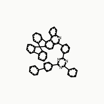 c1ccc(-c2ccc(-c3nc(-c4ccccc4)nc(-c4cccc(-c5nc6ccccc6c6c7c(ccc56)C5(c6ccccc6-c6ccccc65)c5ccccc5-7)c4)n3)cc2)cc1